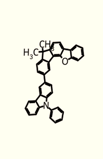 CC1(C)c2ccc(-c3ccc4c(c3)c3ccccc3n4-c3ccccc3)cc2-c2c1ccc1c2oc2ccccc21